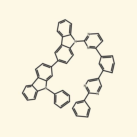 c1ccc(-c2ncc(-c3cccc(-c4ccnc(-n5c6ccccc6c6cc(-c7ccc8c9ccccc9n(-c9ccccc9)c8c7)ccc65)n4)c3)cn2)cc1